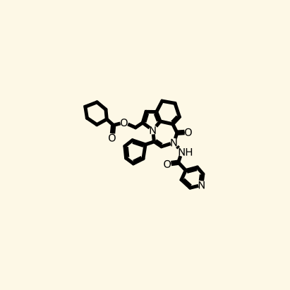 O=C(NN1C=C(c2ccccc2)n2c(COC(=O)C3CCCCC3)cc3c2C(=CCC3)C1=O)c1ccncc1